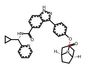 O=CN1[C@@H]2CC[C@H]1C[C@H](Oc1ccc(-c3n[nH]c4ccc(C(=O)N[C@H](c5ccccn5)C5CC5)cc34)cc1)C2